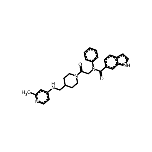 Cc1cc(NCC2CCN(C(=O)CN(C(=O)c3ccc4cc[nH]c4c3)c3ccccc3)CC2)ccn1